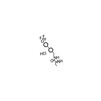 CC[C@H](NC)C(=O)NCCc1ccc(-c2ccc(OC(F)(F)F)cc2)cc1.Cl